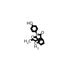 C=CCC12C(=O)N(c3ccc(O)cc3)C(=O)C1C1C=CC2(C)C1